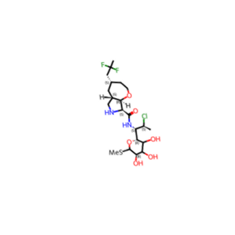 CSC1O[C@H]([C@H](NC(=O)[C@H]2NC[C@@H]3C[C@H](CC(C)(F)F)CCO[C@H]32)[C@H](C)Cl)C(O)C(O)[C@H]1O